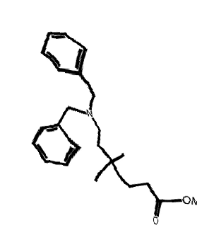 COC(=O)CCC(C)(C)CCN(Cc1ccccc1)Cc1ccccc1